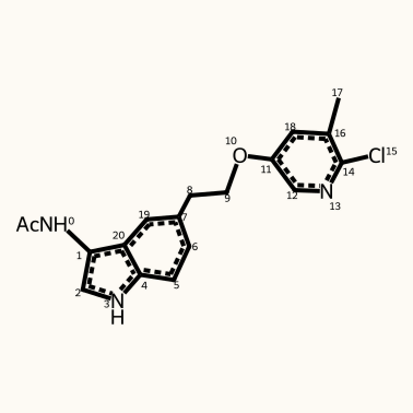 CC(=O)Nc1c[nH]c2ccc(CCOc3cnc(Cl)c(C)c3)cc12